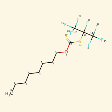 CCCCCCCCOC(=S)SC(F)(C(F)(F)F)C(F)(F)F